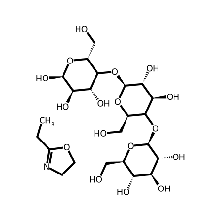 CCC1=NCCO1.OC[C@H]1O[C@@H](OC2[C@@H](CO)O[C@H](O)[C@H](O)[C@H]2O)[C@H](O)[C@@H](O)C1O[C@@H]1O[C@H](CO)[C@@H](O)[C@H](O)[C@H]1O